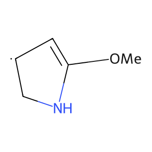 COC1=C[CH]CN1